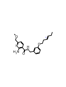 CC/C=C/CCOc1cccc(CNC(=O)c2ccc(COC)nc2N)c1